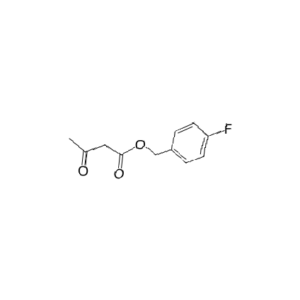 CC(=O)CC(=O)OCc1ccc(F)cc1